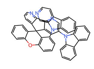 c1ccc2c(c1)Oc1cccc(-n3c4ccccc4c4ccncc43)c1C21c2cccnc2-c2ncc(-n3c4ccccc4c4ccccc43)cc21